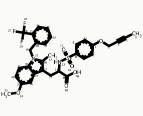 CC#CCOc1ccc(S(=O)(=O)NC(Cc2c(C)n(Cc3ccccc3C(F)(F)F)c3ccc(OC)cc23)C(=O)O)cc1